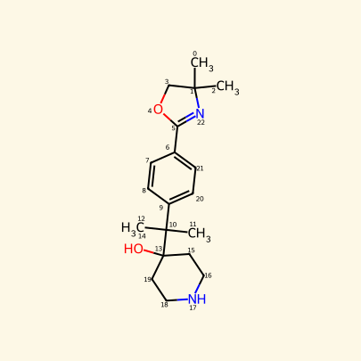 CC1(C)COC(c2ccc(C(C)(C)C3(O)CCNCC3)cc2)=N1